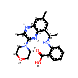 Cc1cc([C@@H](C)Nc2ccccc2C(=O)O)c2nc(N3CCOCC3)c(C)nc2c1